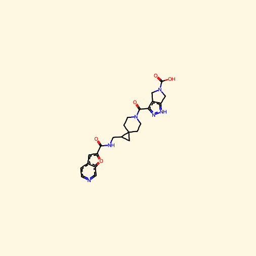 O=C(NCC1CC12CCN(C(=O)c1n[nH]c3c1CN(C(=O)O)C3)CC2)c1cc2ccncc2o1